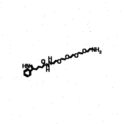 NCCOCCOCCOCCOCCNNC(=O)CCCc1c[nH]c2ccccc12